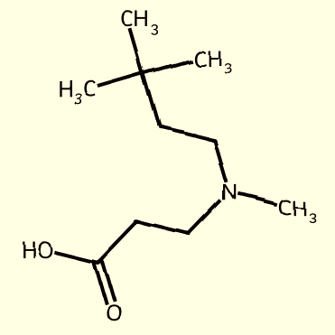 CN(CCC(=O)O)CCC(C)(C)C